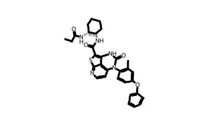 CCC(=O)N[C@@H]1CCCC[C@@H]1NC(=O)c1sc2nccc3c2c1NC(=O)N3c1ccc(Oc2ccccc2)cc1C